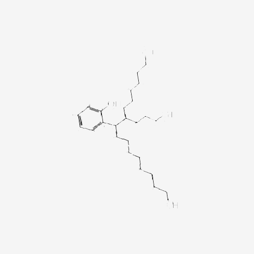 CCCCCCCCCC(c1ccccc1O)C(CCCC)CCCCCCC